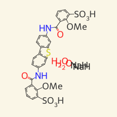 COc1c(C(=O)Nc2ccc3c(c2)sc2cc(NC(=O)c4cccc(S(=O)(=O)O)c4OC)ccc23)cccc1S(=O)(=O)O.O.O.[NaH].[NaH]